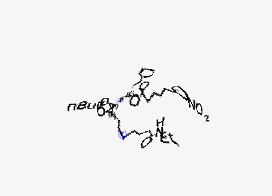 CCCCB1OC2CC(O1)[C@H](C/C=C\CCCC(=O)NCC)[C@H]2/C=C/[C@H](CCc1ccccc1)OC(=O)CCCCCO[N+](=O)[O-]